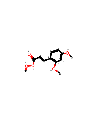 COOC(=O)C=Cc1ccc(OC)cc1OC